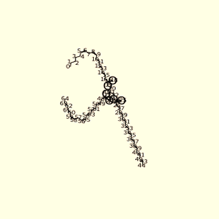 CCCCC/C=C\C/C=C\CCCCCCCC(=O)OC[C@H](COC(=O)CCCCCCCCCCCCCCCCCCC)OC(=O)CCCCCCC/C=C\C/C=C\CCCCC